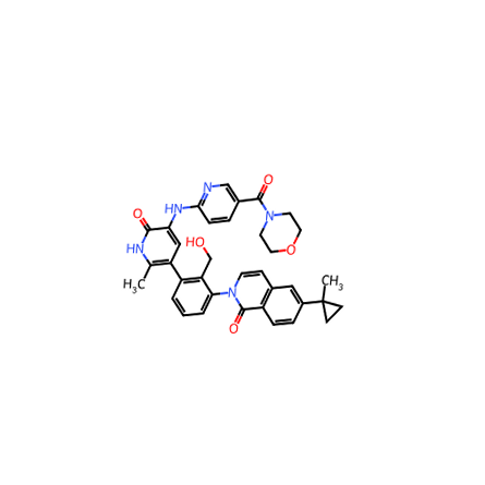 Cc1[nH]c(=O)c(Nc2ccc(C(=O)N3CCOCC3)cn2)cc1-c1cccc(-n2ccc3cc(C4(C)CC4)ccc3c2=O)c1CO